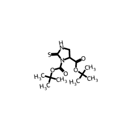 CC(C)(C)OC(=O)C1CNC(=S)N1C(=O)OC(C)(C)C